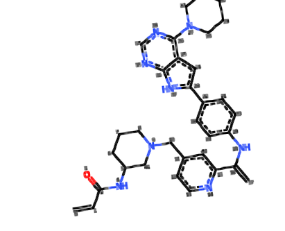 C=CC(=O)NC1CCCN(Cc2ccnc(C(=C)Nc3ccc(-c4cc5c(N6CCCCC6)ncnc5[nH]4)cc3)c2)C1